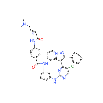 CN(C)C/C=C/C(=O)Nc1ccc(C(=O)Nc2cccc(Nc3ncc(Cl)c(-c4c(-c5ccccc5)nn5ccccc45)n3)c2)cc1